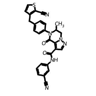 CC1Cn2ncc(C(=O)Nc3cccc(C#N)c3)c2C(=O)N1c1ccc(Cc2ccsc2C#N)cc1